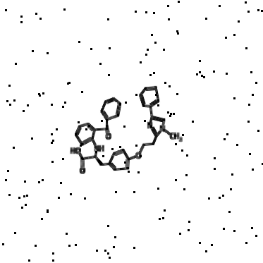 Cn1cc(-c2ccccc2)nc1CCOc1ccc(C[C@H](Nc2ccccc2C(=O)c2ccccc2)C(=O)O)cc1